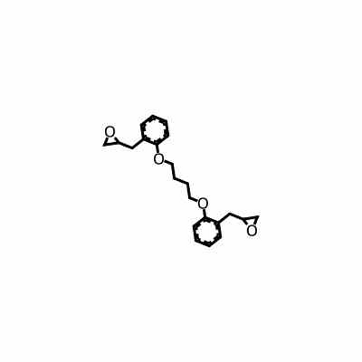 c1ccc(OCCCCOc2ccccc2CC2CO2)c(CC2CO2)c1